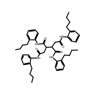 CCCCc1ccccc1NC(=O)CC(C(=O)Nc1ccccc1CCCC)C(CC(=O)Nc1ccccc1CCCC)C(=O)Nc1ccccc1CCCC